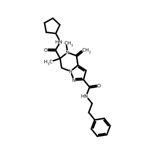 C=C1c2cc(C(=O)NCCc3ccccc3)nn2CC(C)(C(=O)NC2CCCC2)N1C